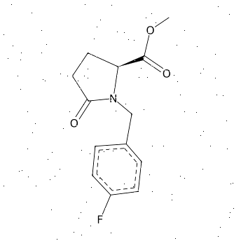 COC(=O)[C@@H]1CCC(=O)N1Cc1ccc(F)cc1